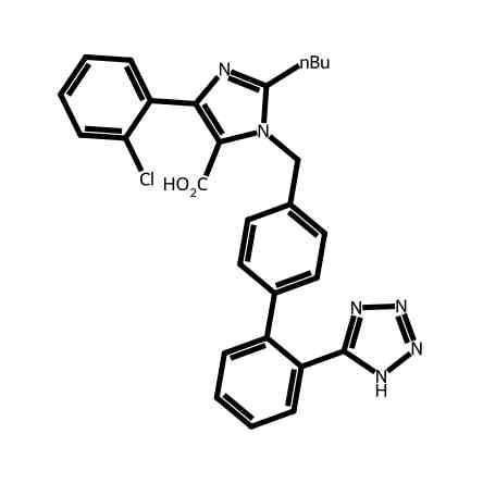 CCCCc1nc(-c2ccccc2Cl)c(C(=O)O)n1Cc1ccc(-c2ccccc2-c2nnn[nH]2)cc1